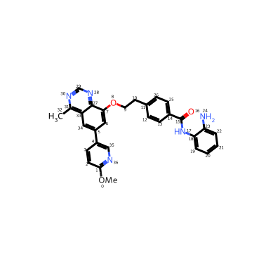 COc1ccc(-c2cc(OCCc3ccc(C(=O)Nc4ccccc4N)cc3)c3ncnc(C)c3c2)cn1